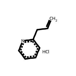 C=CCc1ccccn1.Cl